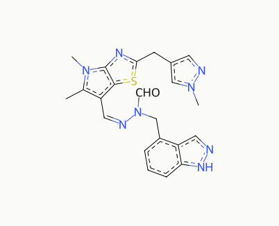 Cc1c(/C=N\N(C=O)Cc2cccc3[nH]ncc23)c2sc(Cc3cnn(C)c3)nc2n1C